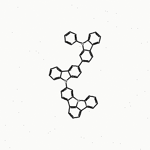 c1ccc(-n2c3ccccc3c3ccc(-c4ccc5c(c4)c4ccccc4n5-c4ccc5c6cccc7c8ccccc8n(c5c4)c76)cc32)cc1